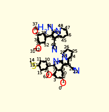 COc1cc(OC)c2c(-c3ccc(SC)cc3)nc3c(c(C#N)c4ccccn43)c2c1.COc1cc(OC)cc(-c2c(C#N)c3ccccn3c2N)c1